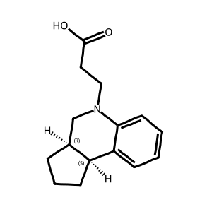 O=C(O)CCN1C[C@@H]2CCC[C@@H]2c2ccccc21